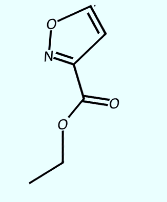 CCOC(=O)c1c[c]on1